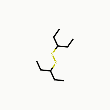 CCC(CC)SSC(CC)CC